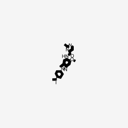 COc1cc2nn([C@H]3CC[C@H](C(C)I)CC3)cc2cc1NC(=O)c1ccnc(C)n1